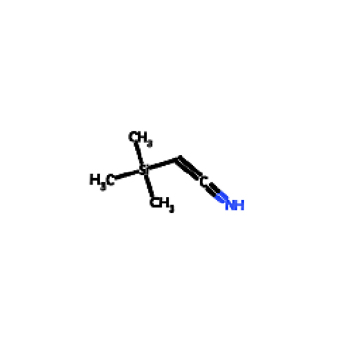 C[Si](C)(C)C=C=N